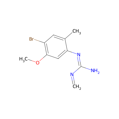 C=N/C(N)=N\c1cc(OC)c(Br)cc1C